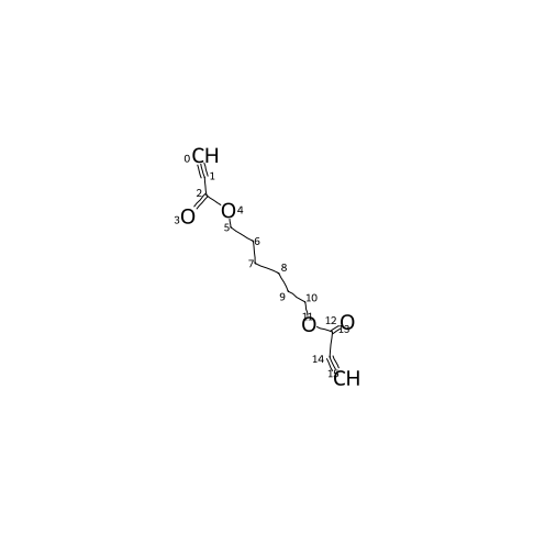 C#CC(=O)OCCCCCCOC(=O)C#C